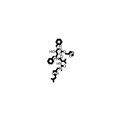 CC(C)=Cc1nc(CN(C)C(=O)N[C@H](C(=O)N[C@@H](Cc2ccccc2)C[C@H](O)[C@H](Cc2ccccc2)NC(=O)OCc2cnco2)C(C)C)cs1